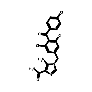 NC(=O)c1ncn(Cc2cc(Cl)c(C(=O)c3ccc(Cl)cc3)c(Cl)c2)c1N